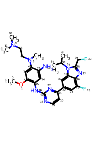 COc1cc(N(C)CCN(C)C)c(N)cc1Nc1nccc(-c2cc(F)c3nc(CF)n(C(C)C)c3c2)n1